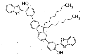 CCCCCCCCC1(CCCCCCCC)c2cc(-c3ccc(O)c(-c4nc5ccccc5o4)c3)ccc2-c2ccc(-c3ccc(O)c(-c4nc5ccccc5o4)c3)cc21